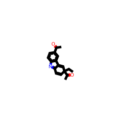 CCC1(C(C)=O)C=CC2=Nc3ccc(C(C)=O)cc3C2=C1